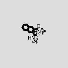 C[Si](C)(C)NC(=O)c1cc2ccccc2cc1C(=O)N[Si](C)(C)C